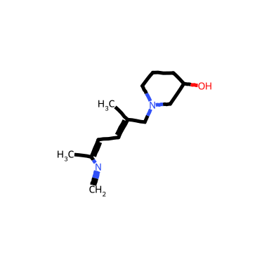 C=N/C(C)=C\C=C(/C)CN1CCCC(O)C1